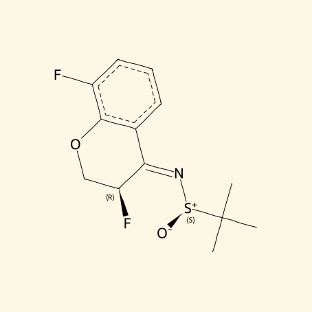 CC(C)(C)[S@@+]([O-])N=C1c2cccc(F)c2OC[C@@H]1F